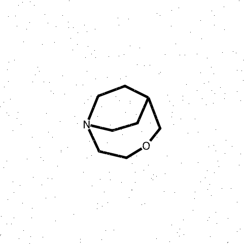 C1CN2CCC(CC2)CO1